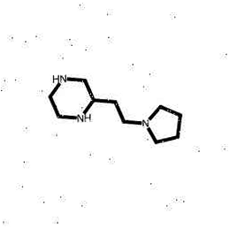 C1CCN(CCC2CNCCN2)C1